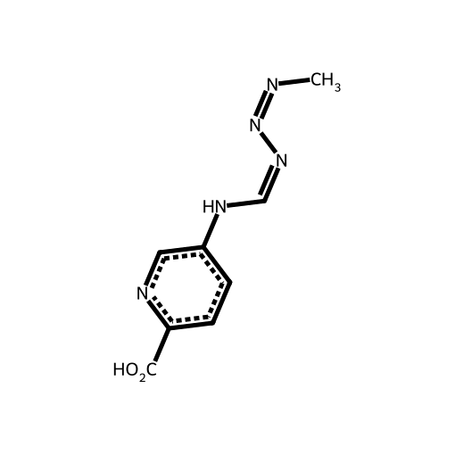 C/N=N\N=C/Nc1ccc(C(=O)O)nc1